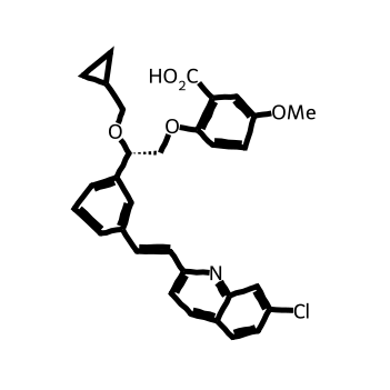 COc1ccc(OC[C@@H](OCC2CC2)c2cccc(/C=C/c3ccc4ccc(Cl)cc4n3)c2)c(C(=O)O)c1